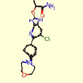 CC(Oc1nc2nc(-c3ccc(N4CCOCC4)cc3)c(Cl)cc2[nH]1)C(N)=O